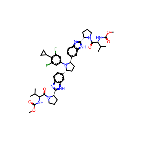 COC(=O)N[C@H](C(=O)N1CCC[C@H]1c1nc2ccc([C@H]3CC[C@H](c4ccc5nc([C@@H]6CCCN6C(=O)[C@@H](NC(=O)OC)C(C)C)[nH]c5c4)N3c3cc(F)c(C4CC4)c(F)c3)cc2[nH]1)C(C)C